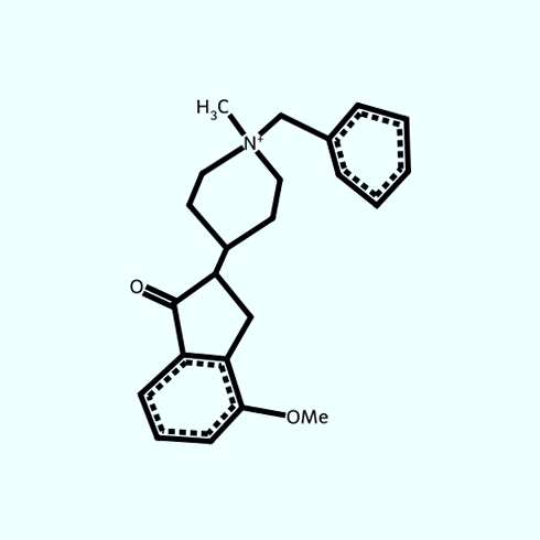 COc1cccc2c1CC(C1CC[N+](C)(Cc3ccccc3)CC1)C2=O